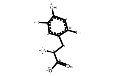 N[C@@H](Cc1cc(I)c(O)cc1I)C(=O)O